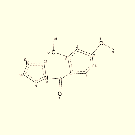 COc1ccc(C(=O)n2ccnc2)c(OC)c1